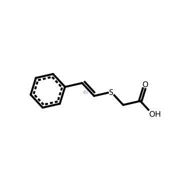 O=C(O)CS/C=C/c1ccccc1